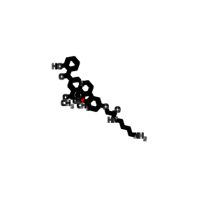 COC(=O)C1=CC(C(=O)c2ccccc2O)=CN2CCc3c([nH]c4ccc(OCC(=O)NCCCCN)cc34)C12C(=O)OC